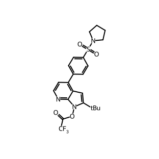 CC(C)(C)c1cc2c(-c3ccc(S(=O)(=O)N4CCCC4)cc3)ccnc2n1OC(=O)C(F)(F)F